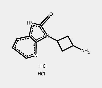 Cl.Cl.NC1CC(n2c(=O)[nH]c3cccnc32)C1